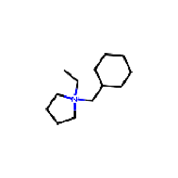 CC[N+]1(CC2CCCCC2)CCCC1